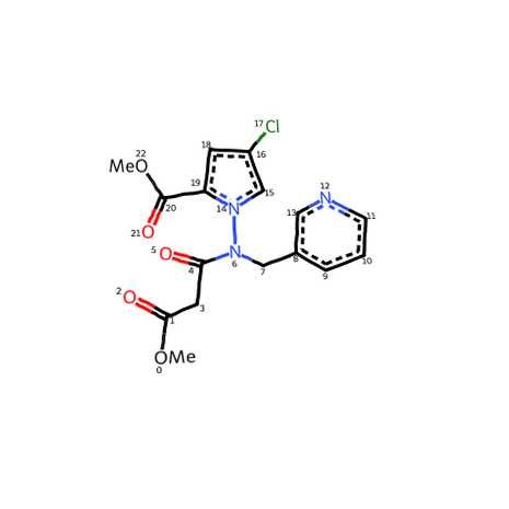 COC(=O)CC(=O)N(Cc1cccnc1)n1cc(Cl)cc1C(=O)OC